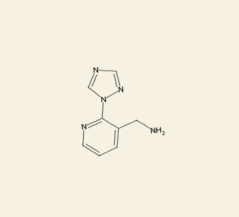 NCc1cccnc1-n1cncn1